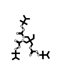 CCC(COC(=O)OOC(C)(C)C(C)C)(COC(=O)OOC(C)(C)C(C)C)COC(=O)OOC(C)(C)C(C)C